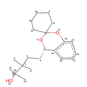 CC(C)(CC[C@@H]1OC2(CCCCC2)Oc2ccccc21)[Si](C)(C)O